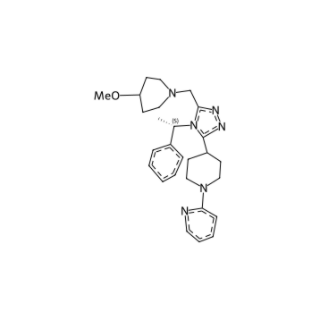 COC1CCN(Cc2nnc(C3CCN(c4ccccn4)CC3)n2[C@@H](C)c2ccccc2)CC1